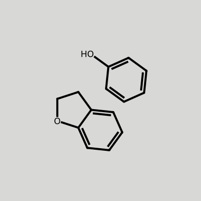 Oc1ccccc1.c1ccc2c(c1)CCO2